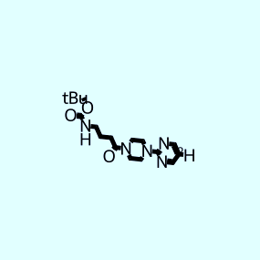 [2H]c1cnc(N2CCN(C(=O)CCCNC(=O)OC(C)(C)C)CC2)nc1